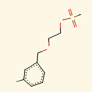 CS(=O)(=O)OCCOCc1cccc(F)c1